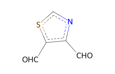 O=Cc1ncsc1C=O